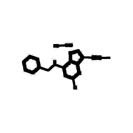 CC#Cc1csc2c(NCc3ccccc3)cc(Cl)nc12.O=CO